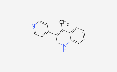 CC1=C(c2ccncc2)CNc2ccccc21